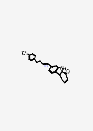 CCc1ccc(CC/C=C/c2ccc3c(c2)NC2C(=O)CCCC32)cc1